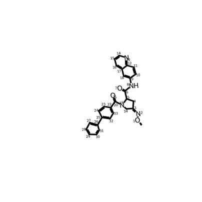 CON=C1CC(C(=O)Nc2ccc3ncccc3c2)N(C(=O)c2ccc(-c3ccccc3)cc2)C1